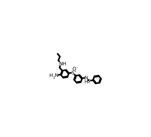 CCCNCc1cc([S+]([O-])c2cccc(NSc3ccccc3)c2)ccc1N